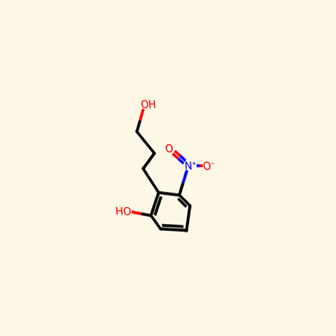 O=[N+]([O-])c1cccc(O)c1CCCO